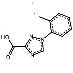 Cc1ccccc1-n1cnc(C(=O)O)n1